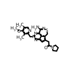 COc1c(C)cnc(Cn2nc3cc(CC(=O)N4CCCC4)c4c-3c(n2)C(N)=NSC4)c1C